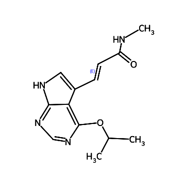 CNC(=O)/C=C/c1c[nH]c2ncnc(OC(C)C)c12